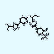 CCC(Oc1ccc(-c2noc(C(C)C)n2)cn1)c1nc(-c2ccc(S(C)(=O)=O)c(F)c2)no1